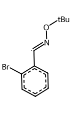 CC(C)(C)O/N=[C]/c1ccccc1Br